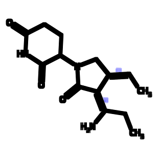 C/C=C1/CN(C2CCC(=O)NC2=O)C(=O)/C1=C(\N)CC